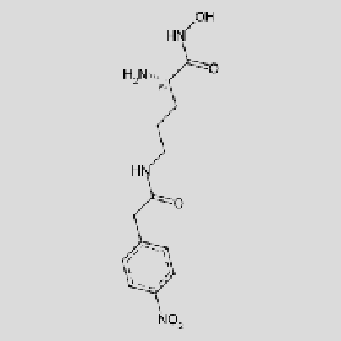 N[C@@H](CCCNC(=O)Cc1ccc([N+](=O)[O-])cc1)C(=O)NO